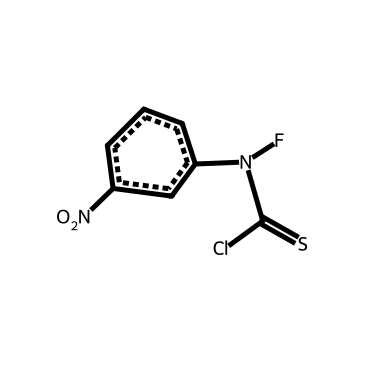 O=[N+]([O-])c1cccc(N(F)C(=S)Cl)c1